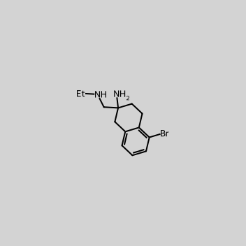 CCNCC1(N)CCc2c(Br)cccc2C1